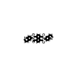 O=C1c2ccc3c4c(ccc(c24)C(=O)N1c1ccc2ncccc2c1)C(=O)N(c1ccc2ncccc2c1)C3=O